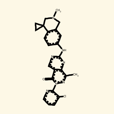 Cc1nn(-c2ncccc2Cl)c(=O)c2cnc(Nc3ccc4c(c3)CN(C)CC43CC3)nc12